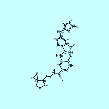 CC1NC=C(C(=O)NCCN2CCCC23CC3)C=C1NC1NN(C)c2nc(Nc3cnn(C)c3)ncc21